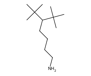 CC(C)(C)C(CCCCN)C(C)(C)C